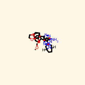 COCOc1ccccc1-c1cc(N2C[C@H]3CC[C@@H](C2)N3c2nccc(C3CCC4(CC3)OCCO4)n2)c(N)nn1